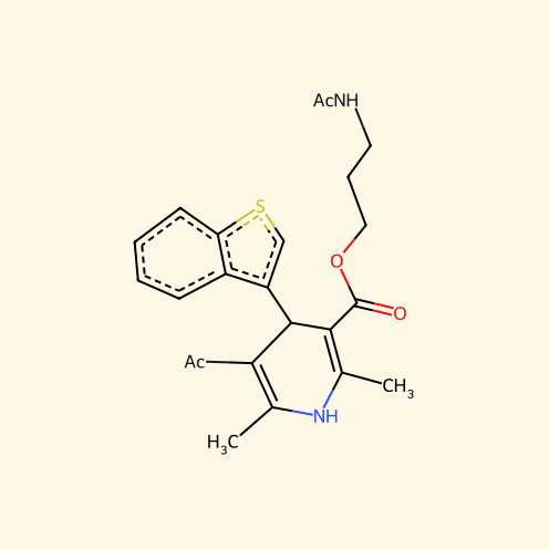 CC(=O)NCCCOC(=O)C1=C(C)NC(C)=C(C(C)=O)C1c1csc2ccccc12